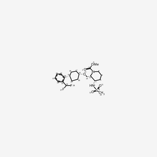 COC(=O)N1CCC[C@H](NS(C)(=O)=O)[C@@H]1CO[C@H]1CC[C@@H](c2ccccc2C(F)F)CC1